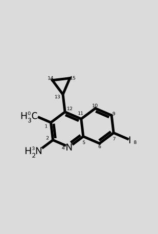 Cc1c(N)nc2cc(I)ccc2c1C1CC1